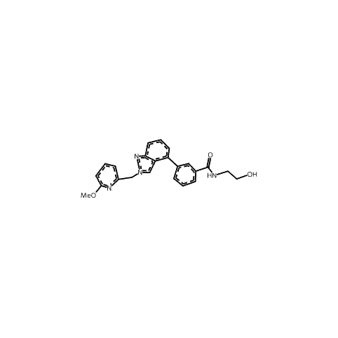 COc1cccc(Cn2cc3c(-c4cccc(C(=O)NCCO)c4)cccc3n2)n1